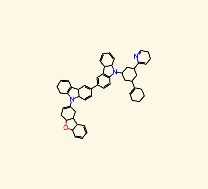 C1=CC2OC3CC=C(N4C5=C(C=CCC5)C5C=C(c6ccc7c(c6)C6C=CC=CC6N7C6CC(C7=CCCCC7)CC(C7=CCCC=N7)C6)C=CC54)CC3C2C=C1